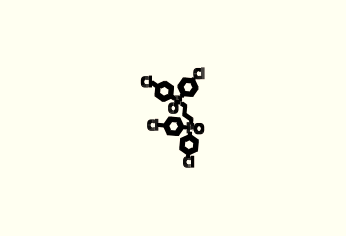 O=P(CCCP(=O)(c1ccc(Cl)cc1)c1ccc(Cl)cc1)(c1ccc(Cl)cc1)c1ccc(Cl)cc1